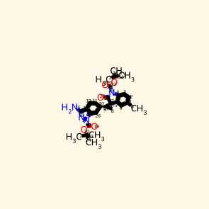 Cc1ccc2c(c1)[C@]1(C[C@H]1c1ccc3c(N)nn(C(=O)OC(C)(C)C)c3c1)C(=O)N2C(=O)OC(C)(C)C